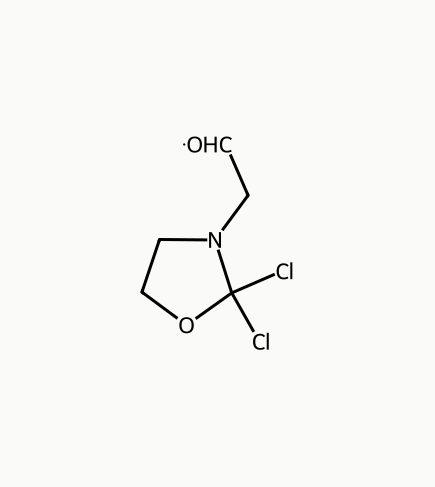 O=[C]CN1CCOC1(Cl)Cl